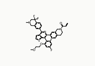 C=CC(=O)N1CCc2ccc(-c3nc(-c4ccc5c(c4)CN(C)CC5(F)F)c4ccsc4c3-c3c(F)cc(F)cc3OCCOC)cc2C1